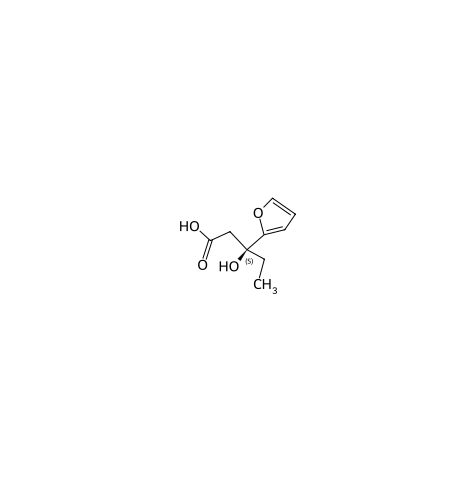 CC[C@](O)(CC(=O)O)c1ccco1